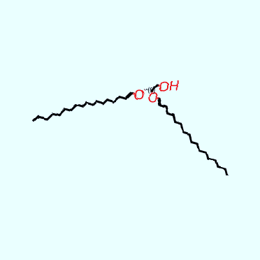 CCCCCCCCCCCCCCCCC=COC[C@H](CO)OC=CCCCCCCCCCCCCCCCC